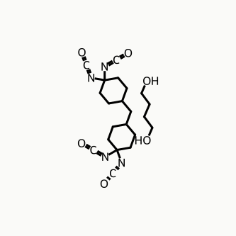 O=C=NC1(N=C=O)CCC(CC2CCC(N=C=O)(N=C=O)CC2)CC1.OCCCCO